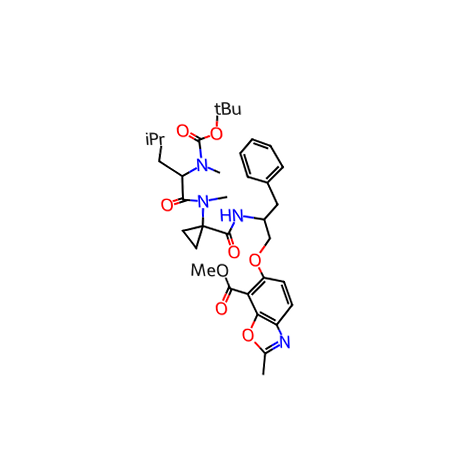 COC(=O)c1c(OCC(Cc2ccccc2)NC(=O)C2(N(C)C(=O)C(CC(C)C)N(C)C(=O)OC(C)(C)C)CC2)ccc2nc(C)oc12